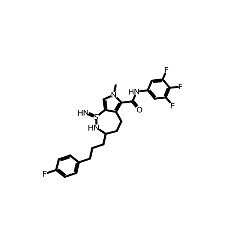 Cn1cc2c(c1C(=O)Nc1cc(F)c(F)c(F)c1)CCC(CCCc1ccc(F)cc1)NS2=N